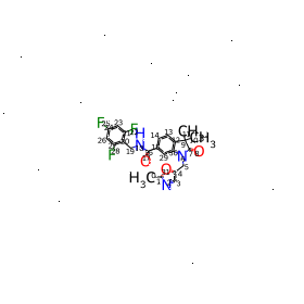 Cc1ncc(CN2C(=O)C(C)(C)c3ccc(C(=O)NCc4c(F)cc(F)cc4F)cc32)o1